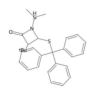 C[SiH](C)N1C(=O)C(C(C)(C)C)C1SC(c1ccccc1)(c1ccccc1)c1ccccc1